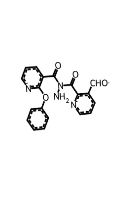 NN(C(=O)c1cccnc1Oc1ccccc1)C(=O)c1ncccc1[C]=O